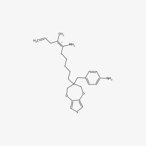 C=CC/C(C)=C(/N)CCCCCC1(Cc2ccc(N)cc2)COc2cscc2OC1